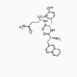 NC(=O)CC[C@H](NC(=O)[C@H](Cc1ccc(O)cc1)NC(=O)[C@@H](N)Cc1ccc2ccccc2c1)C(=O)O